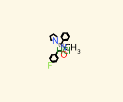 CN(C(=O)Cc1ccc(F)cc1)[C@H](CN1CCCC1)c1ccccc1.Cl